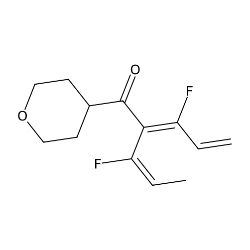 C=C/C(F)=C(C(=O)C1CCOCC1)\C(F)=C/C